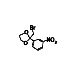 O=[N+]([O-])c1cccc(C2(CBr)OCCO2)c1